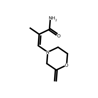 C=C1CN(C=C(C)C(N)=O)CCO1